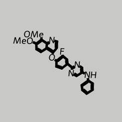 COc1ccc2c(Oc3ccc(-c4ncc(Nc5ccccc5)cn4)cc3F)ccnc2c1OC